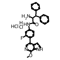 COc1ncc(-c2ccc(NC(=O)C(N)C(c3ccccc3)c3ccccc3)cc2F)c2cc[nH]c12.Cl.Cl